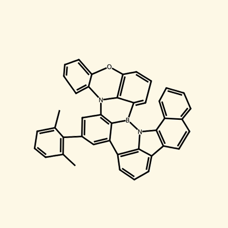 Cc1cccc(C)c1-c1cc2c3c(c1)N1c4ccccc4Oc4cccc(c41)B3n1c3c-2cccc3c2ccc3ccccc3c21